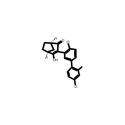 Cc1cc(Cl)ccc1-c1ccc(Cl)c(C2=C(O)[C@H]3CC[C@H](C3)C2=O)c1